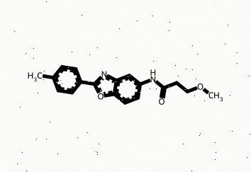 COCCC(=O)Nc1ccc2oc(-c3ccc(C)cc3)nc2c1